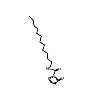 CCCCCCCCCCCCNC(=O)n1sccc1=O